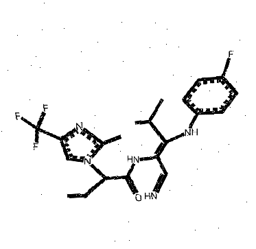 CCC(C(=O)N/C(C=N)=C(/Nc1ccc(F)cc1)C(C)C)n1cc(C(F)(F)F)nc1C